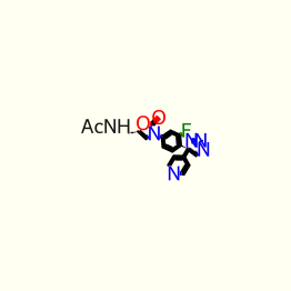 CC(=O)NC[C@H]1CN(c2ccc([C@@]3(c4ccncc4)C=NN=N3)c(F)c2)C(=O)O1